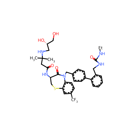 CCNC(=O)NCc1ccccc1-c1ccc(CN2C(=O)[C@H](NC(=O)CC(C)(C)NC[C@H](O)CO)CSc3cc(C(F)(F)F)ccc32)cc1